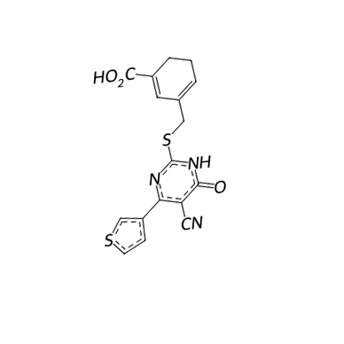 N#Cc1c(-c2ccsc2)nc(SCC2=CCCC(C(=O)O)=C2)[nH]c1=O